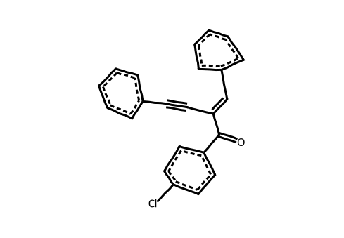 O=C(/C(C#Cc1ccccc1)=C/c1ccccc1)c1ccc(Cl)cc1